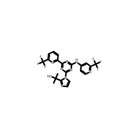 CC(C)(O)c1nccn1-c1nc(Nc2ccnc(C(F)(F)F)c2)nc(-c2cccc(C(F)(F)F)n2)n1